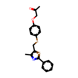 CC(=O)COc1ccc(SCc2sc(-c3ccccc3)nc2C)cc1